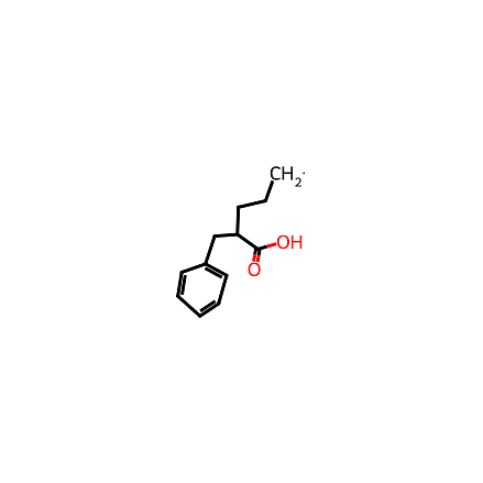 [CH2]CCC(Cc1ccccc1)C(=O)O